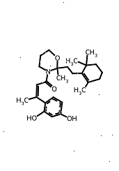 CC1=C(CCC2(C)OCCCN2C(=O)/C=C(/C)c2ccc(O)cc2O)C(C)(C)CCC1